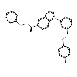 Cc1ccc(COc2cccc(-n3cnc4cc(C(=O)NCc5cccnc5)ccc43)c2)cc1